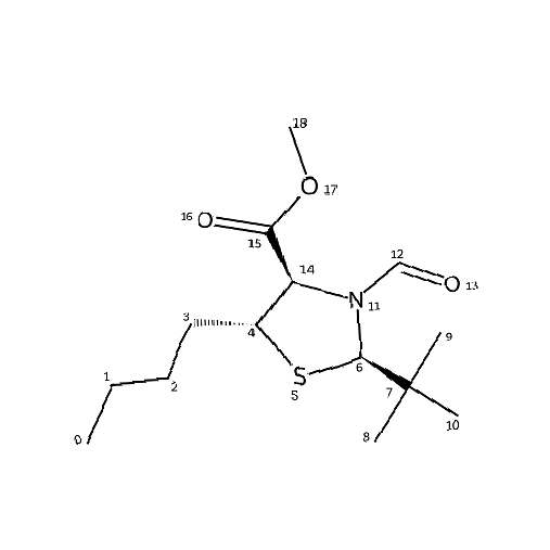 CCCC[C@H]1S[C@H](C(C)(C)C)N(C=O)[C@@H]1C(=O)OC